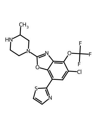 CC1CN(c2nc3c(OC(F)(F)F)c(Cl)cc(-c4nccs4)c3o2)CCN1